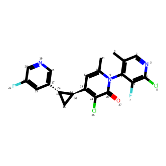 Cc1cnc(Cl)c(F)c1-n1c(C)cc([C@H]2C[C@@H]2c2cncc(F)c2)c(Cl)c1=O